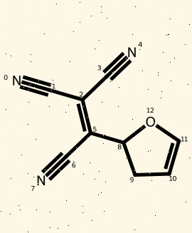 N#CC(C#N)=C(C#N)C1CC=CO1